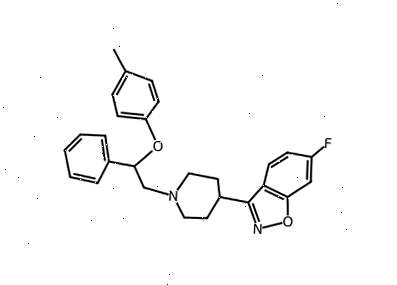 Cc1ccc(OC(CN2CCC(c3noc4cc(F)ccc34)CC2)c2ccccc2)cc1